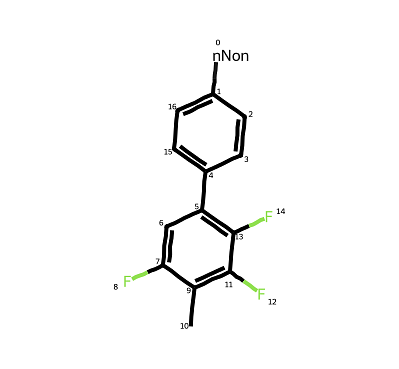 CCCCCCCCCc1ccc(-c2cc(F)c(C)c(F)c2F)cc1